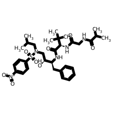 CC(C)CN(C[C@@H](O)[C@H](Cc1ccccc1)NC(=O)[C@@H](NC(=O)CNC(=O)C(C)C)C(C)(C)C)S(=O)(=O)c1ccc([N+](=O)[O-])cc1